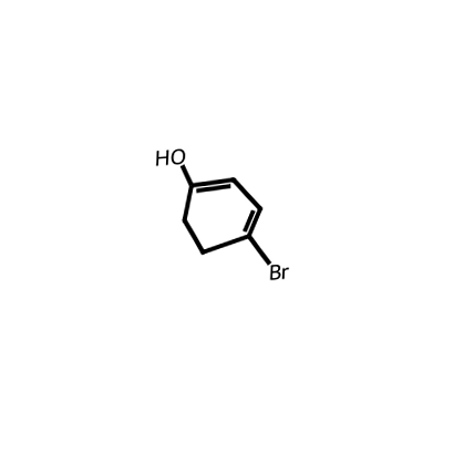 OC1=CC=C(Br)CC1